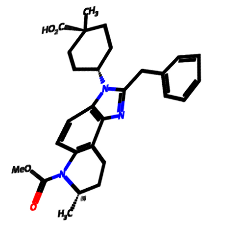 COC(=O)N1c2ccc3c(nc(Cc4ccccc4)n3[C@H]3CC[C@](C)(C(=O)O)CC3)c2CC[C@@H]1C